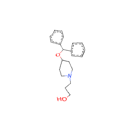 OCCCN1CCC(OC(c2ccccc2)c2ccccc2)CC1